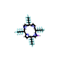 FC(F)(F)C(F)(F)C(F)(F)c1c2nc(c(C(F)(F)C(F)(F)C(F)(F)F)c3cc(I)c([nH]3)c(C(F)(F)C(F)(F)C(F)(F)F)c3nc(c(C(F)(F)C(F)(F)C(F)(F)F)c4ccc1[nH]4)C=C3)C=C2